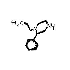 C=CCN1CCNCC1c1ccccc1